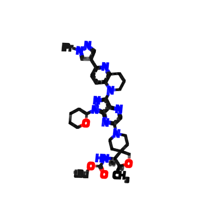 CC(C)n1cc(-c2ccc3c(n2)CCCN3c2nn(C3CCCCO3)c3nc(N4CCC5(CC4)CO[C@@H](C)[C@H]5NC(=O)OC(C)(C)C)cnc23)cn1